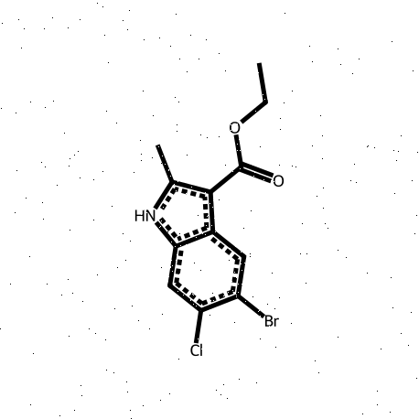 CCOC(=O)c1c(C)[nH]c2cc(Cl)c(Br)cc12